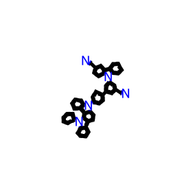 N#Cc1cc(-c2ccc(-n3c4ccccc4c4c3ccc3c5ccccc5n(-c5ccccc5)c34)cc2)cc(-n2c3ccccc3c3cc(C#N)ccc32)c1